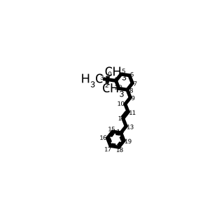 CC(C)(C)C1CCCC(CCC=CCc2ccccc2)C1